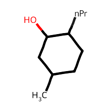 [CH2]CCC1CCC(C)CC1O